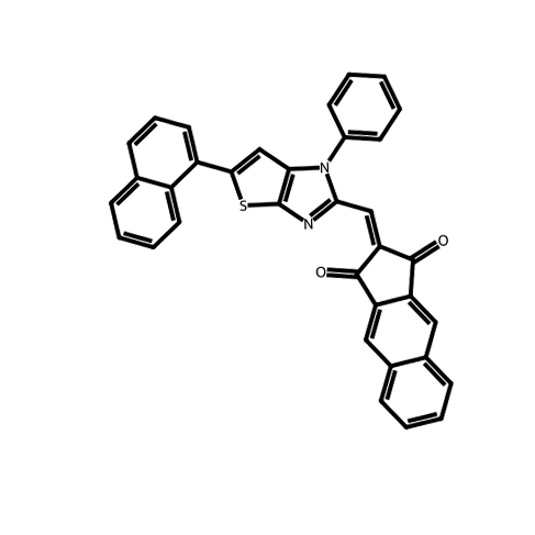 O=C1C(=Cc2nc3sc(-c4cccc5ccccc45)cc3n2-c2ccccc2)C(=O)c2cc3ccccc3cc21